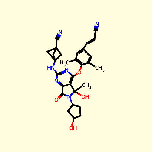 Cc1cc(/C=C/C#N)cc(C)c1Oc1nc(NC23CC(C#N)(C2)C3)nc2c1C(C)(O)N([C@H]1CC[C@@H](O)C1)C2=O